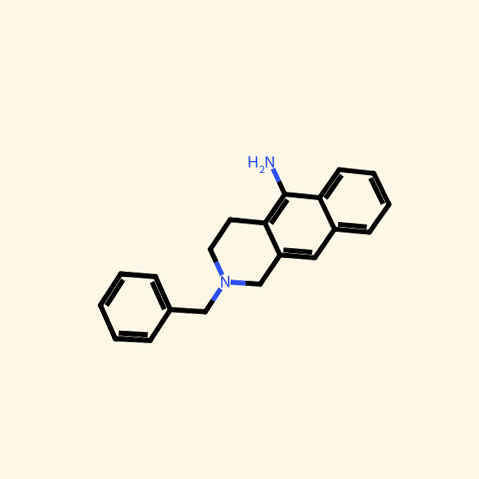 Nc1c2c(cc3ccccc13)CN(Cc1ccccc1)CC2